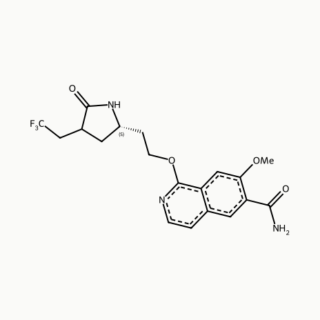 COc1cc2c(OCC[C@@H]3CC(CC(F)(F)F)C(=O)N3)nccc2cc1C(N)=O